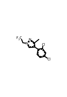 Cc1nn(CC(F)(F)F)cc1-c1ccc(Cl)cc1Cl